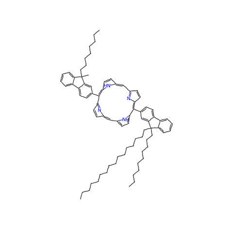 CCCCCCCCCCCCCCCCC1(CCCCCCCCCC)c2ccccc2-c2ccc(-c3c4nc(cc5ccc([nH]5)c(-c5ccc6c(c5)C(C)(CCCCCCCC)c5ccccc5-6)c5nc(cc6ccc3[nH]6)C=C5)C=C4)cc21